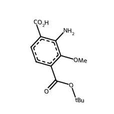 COc1c(C(=O)OC(C)(C)C)ccc(C(=O)O)c1N